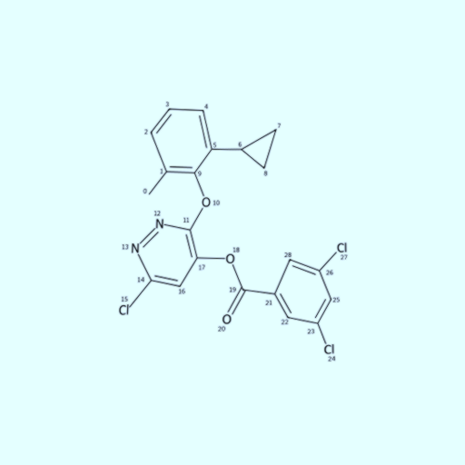 Cc1cccc(C2CC2)c1Oc1nnc(Cl)cc1OC(=O)c1cc(Cl)cc(Cl)c1